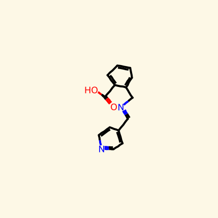 O=C(O)c1ccccc1C/N=C/c1ccncc1